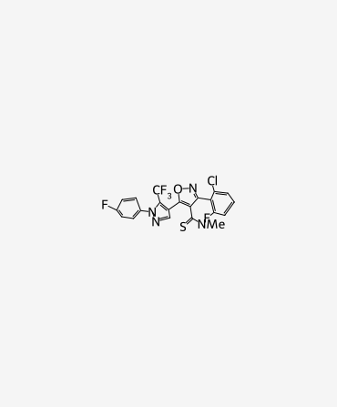 CNC(=S)c1c(-c2c(F)cccc2Cl)noc1-c1cnn(-c2ccc(F)cc2)c1C(F)(F)F